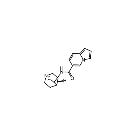 O=C(N[C@H]1CN2CCC1CC2)c1ccc2cccn2c1